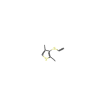 C=CSc1c(C)csc1C